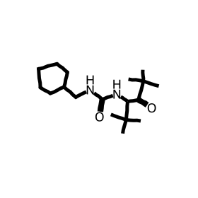 CC(C)(C)C(=O)C(NC(=O)NCC1CCCCC1)C(C)(C)C